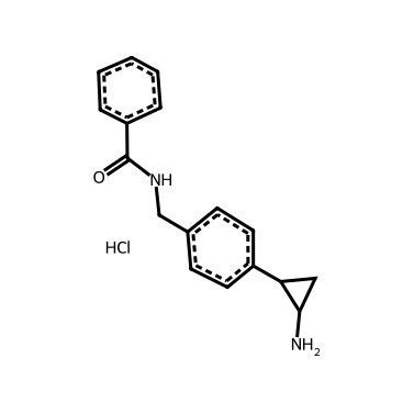 Cl.NC1CC1c1ccc(CNC(=O)c2ccccc2)cc1